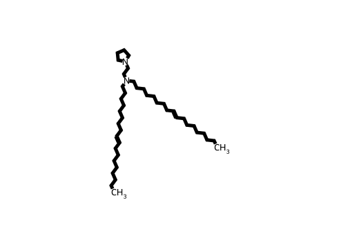 CCCCCCCCC=CCCCCCCCCN(CCCCCCCCC=CCCCCCCCC)CCN1CCCC1